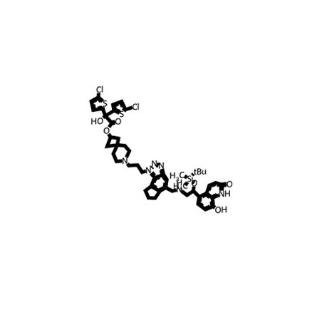 CC(C)(C)[Si](C)(C)OC(CNCc1cc2nnn(CCCN3CCC4(CC3)CC(OC(=O)C(O)(c3ccc(Cl)s3)c3ccc(Cl)s3)C4)c2c2c1CCC2)c1ccc(O)c2[nH]c(=O)ccc12